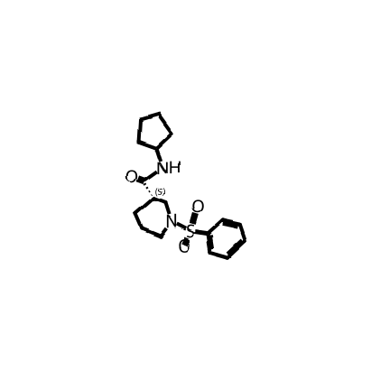 O=C(NC1CCCC1)[C@H]1CCCN(S(=O)(=O)c2ccccc2)C1